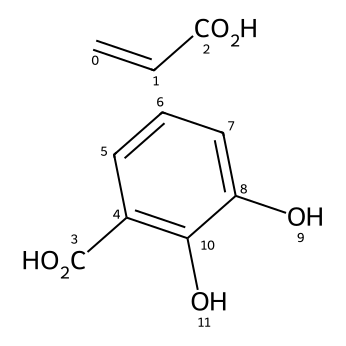 C=CC(=O)O.O=C(O)c1cccc(O)c1O